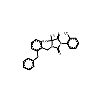 Cc1ccccc1N1C(=O)N(Cc2ccccc2Cc2ccccc2)C(C)(C)C1=O